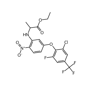 CCOC(=O)C(C)Nc1cc(Oc2c(F)cc(C(F)(F)F)cc2Cl)ccc1[N+](=O)[O-]